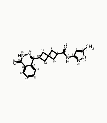 Cc1cc(NC(=O)C2CC3(C2)CC(c2n[nH]c(=O)c4ccccc24)C3)no1